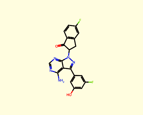 Nc1ncnc2c1c(-c1cc(O)cc(F)c1)nn2C1Cc2cc(F)ccc2C1=O